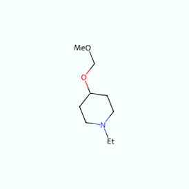 [CH2]CN1CCC(OCOC)CC1